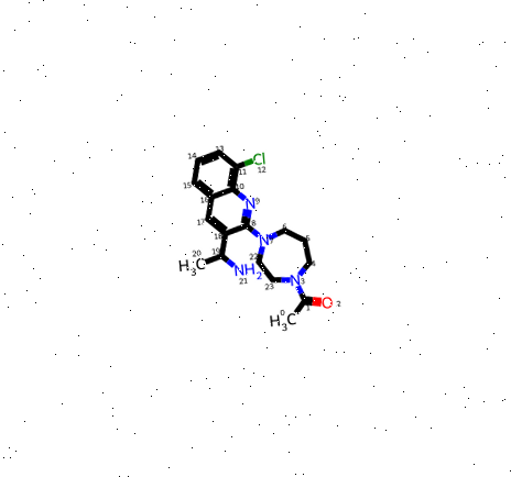 CC(=O)N1CCCN(c2nc3c(Cl)cccc3cc2C(C)N)CC1